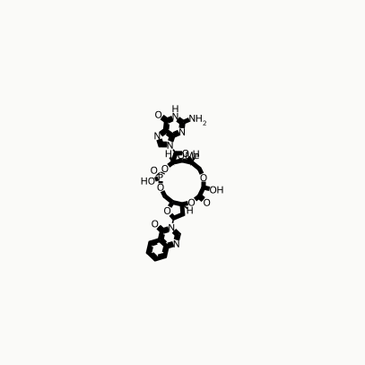 COC1[C@H]2COC(O)C(=O)O[C@H]3C[C@H](n4cnc5ccccc5c4=O)OC3COP(=O)(O)O[C@@H]1[C@H](n1cnc3c(=O)[nH]c(N)nc31)O2